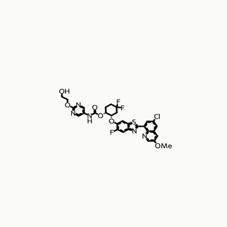 COc1cnc2c(-c3nc4cc(F)c(O[C@H]5CC(F)(F)CC[C@H]5OC(=O)Nc5cnc(OCCO)nc5)cc4s3)cc(Cl)cc2c1